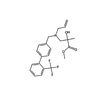 C=CCN(Cc1ccc(-c2ccccc2C(F)(F)F)cc1)CC(C)(O)C(=O)OC